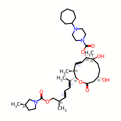 C/C(=C\C=C\[C@@H](C)COC(=O)N1CC[C@@H](C)C1)[C@H]1OC(=O)C[C@@H](O)CC[C@](C)(O)[C@@H](OC(=O)N2CCN(C3CCCCCC3)CC2)/C=C/[C@@H]1C